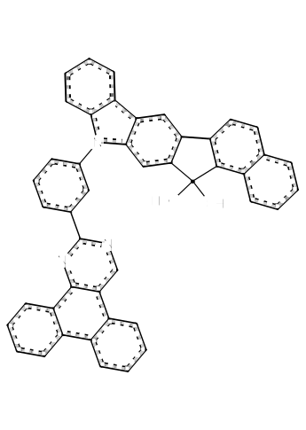 CC1(C)c2cc3c(cc2-c2ccc4ccccc4c21)c1ccccc1n3-c1cccc(-c2ncc3c4ccccc4c4ccccc4c3n2)c1